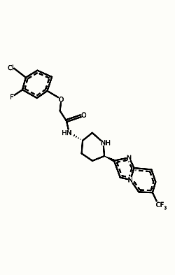 O=C(COc1ccc(Cl)c(F)c1)N[C@H]1CC[C@H](c2cn3cc(C(F)(F)F)ccc3n2)NC1